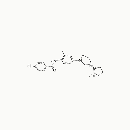 Cc1cc(N2CC[C@H](N3CCC[C@@H]3C)C2)ccc1NC(=O)c1ccc(Cl)cc1